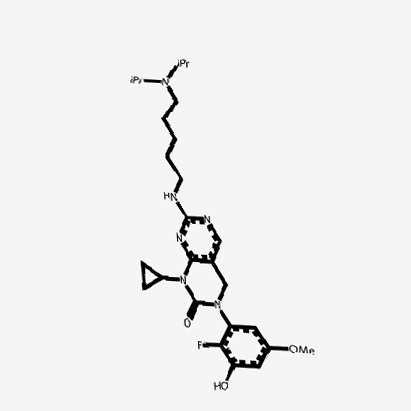 COc1cc(O)c(F)c(N2Cc3cnc(NCCCCCN(C(C)C)C(C)C)nc3N(C3CC3)C2=O)c1